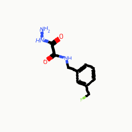 NNC(=O)C(=O)NCc1cccc(CF)c1